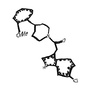 COc1ccccc1C1CCN(C(=O)c2c[nH]c3cc(Cl)ccc23)CC1